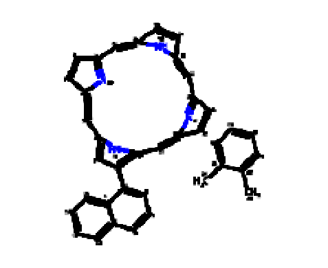 C1=Cc2cc3cc(-c4cccc5ccccc45)c(cc4nc(cc5ccc(cc1n2)[nH]5)C=C4)[nH]3.Cc1ccccc1C